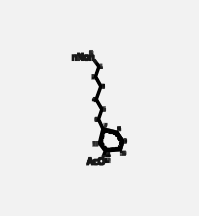 CCCCCCCCCCCCCCCc1cccc(OC(C)=O)c1